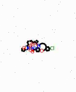 C=CC[C@H](C)N(C[C@H]1CCCO1)S(=O)(=O)NC(=O)c1ccc2c(c1)N(C[C@@H]1CC[C@H]1[C@@H](O)C=C)CCCCc1cc(Cl)ccc1CO2